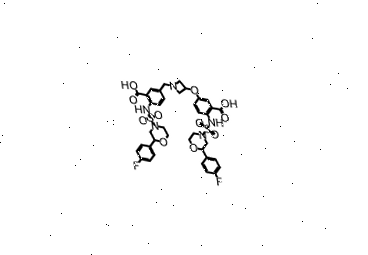 O=C(O)c1cc(CN2CC(Oc3ccc(NS(=O)(=O)N4CCOC(c5ccc(F)cc5)C4)c(C(=O)O)c3)C2)ccc1NS(=O)(=O)N1CCOC(c2ccc(F)cc2)C1